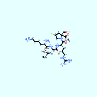 CC(=O)[C@@]1(C=O)CC(F)CN1C(=O)[C@H](CCCNC(=N)N)NC(=O)[C@H](CC(C)C)NC(=O)[C@@H](N)CCCCN